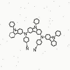 N#Cc1ccc(N(c2ccc3c(c2)c2c(n3-c3ccccc3)CCC=C2)c2ccc3c(c2)c2cc(N(c4ccc(C#N)cc4)c4ccc5c(c4)c4ccccc4n5-c4ccccc4)ccc2n3-c2ccccc2)cc1